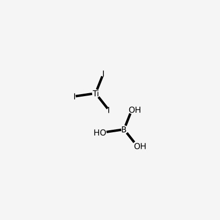 OB(O)O.[I][Ti]([I])[I]